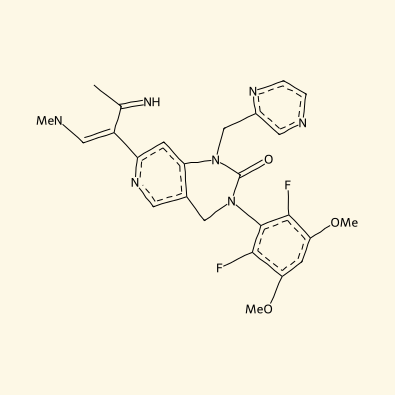 CN/C=C(\C(C)=N)c1cc2c(cn1)CN(c1c(F)c(OC)cc(OC)c1F)C(=O)N2Cc1cnccn1